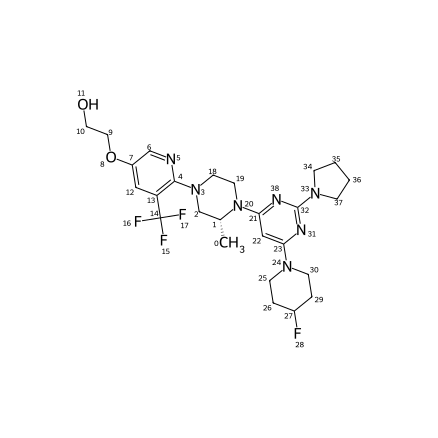 C[C@@H]1CN(c2ncc(OCCO)cc2C(F)(F)F)CCN1c1cc(N2CCC(F)CC2)nc(N2CCCC2)n1